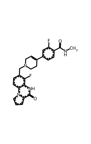 CNC(=O)c1ccc(C2=CCN(Cc3ccc4c([nH]c(=O)c5cccn54)c3F)CC2)cc1F